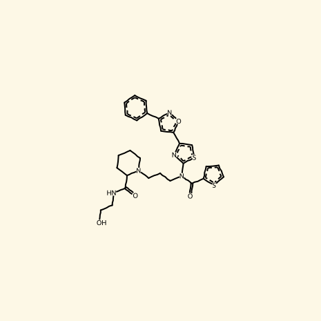 O=C(NCCO)C1CCCCN1CCCN(C(=O)c1cccs1)c1nc(-c2cc(-c3ccccc3)no2)cs1